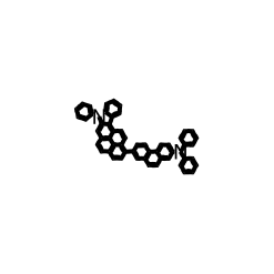 c1ccc(N(c2ccccc2)c2ccc3c(ccc4cc(-c5ccc6ccc7cc8c(c9ccc5c6c79)c5ccccc5n8-c5ccccc5)ccc43)c2)cc1